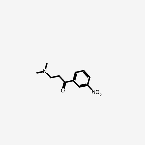 CN(C)CCC(=O)c1cccc([N+](=O)[O-])c1